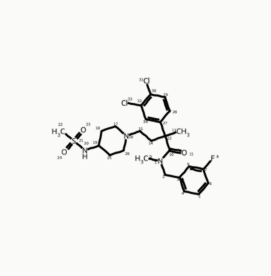 CN(Cc1cccc(F)c1)C(=O)C(C)(CCN1CCC(NS(C)(=O)=O)CC1)c1ccc(Cl)c(Cl)c1